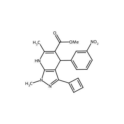 COC(=O)C1=C(C)Nc2c(c(C3=CC=C3)nn2C)C1c1cccc([N+](=O)[O-])c1